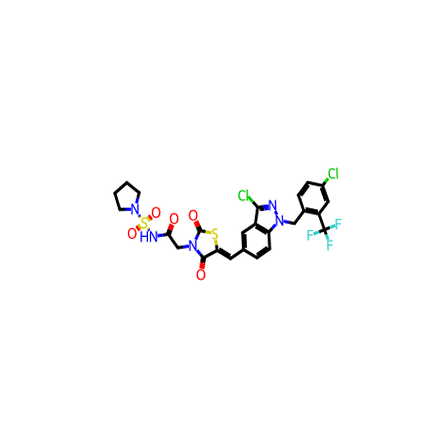 O=C(CN1C(=O)SC(=Cc2ccc3c(c2)c(Cl)nn3Cc2ccc(Cl)cc2C(F)(F)F)C1=O)NS(=O)(=O)N1CCCC1